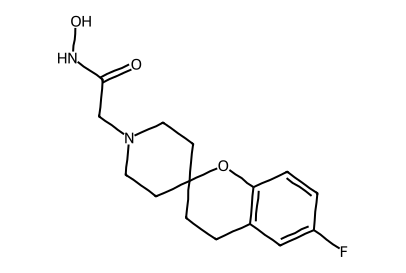 O=C(CN1CCC2(CCc3cc(F)ccc3O2)CC1)NO